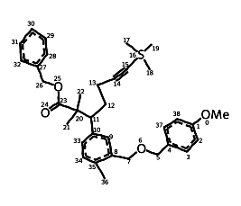 COc1ccc(COCc2cc(C(CCC#CS(C)(C)C)C(C)(C)C(=O)OCc3ccccc3)ccc2C)cc1